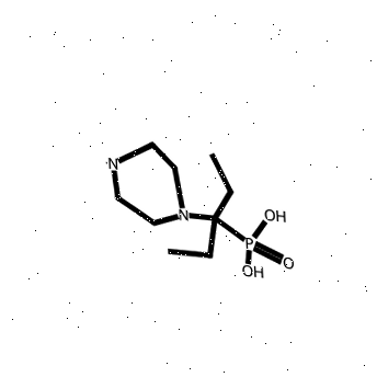 CCC(CC)(N1CC[N]CC1)P(=O)(O)O